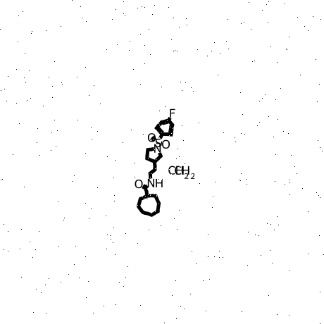 O=C(NCCC1CCN(S(=O)(=O)c2ccc(F)cc2)C1)[C]1CCCCCCC1.[CH2].[CH2]